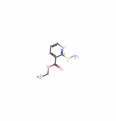 CCOC(=O)c1cccnc1SN